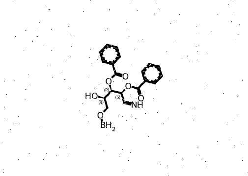 BOC[C@@H](O)[C@@H](OC(=O)c1ccccc1)[C@H](C=N)OC(=O)c1ccccc1